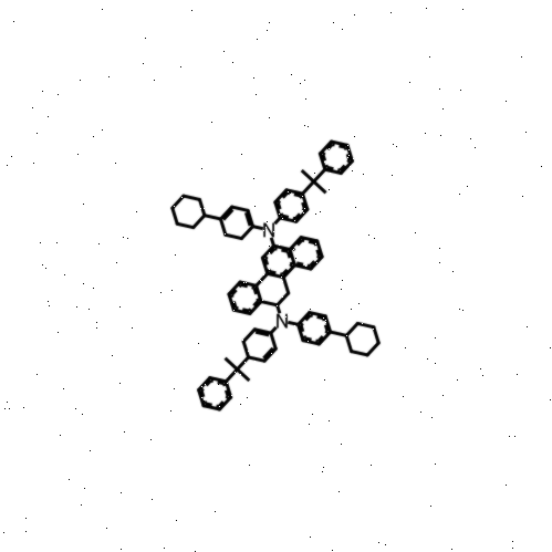 CC(C)(c1ccccc1)c1ccc(N(C2=CC=C(C3CCCCC3)CC2)c2cc3c(c4ccccc24)CC(N(C2=CCC(C(C)(C)c4ccccc4)C=C2)c2ccc(C4CCCCC4)cc2)c2ccccc2-3)cc1